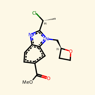 COC(=O)c1ccc2nc([C@@H](C)Cl)n(C[C@@H]3CCO3)c2c1